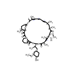 CO[C@@H]1C[C@@H](CC(C)[C@@H]2CC(=O)[C@H](C)/C=C(\C)[C@@H](O)[C@@H](OC)C(=O)[C@H](C)C[C@H](C)/C=C/C=C/C=C(/C)C(I)C[C@@H]3CC[C@@H](C)[C@@](O)(O3)C(=O)C(=O)N3CCCC[C@H]3C(=O)O2)CC[C@H]1O